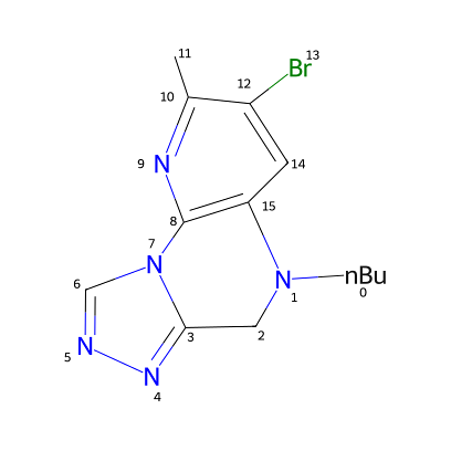 CCCCN1Cc2nncn2-c2nc(C)c(Br)cc21